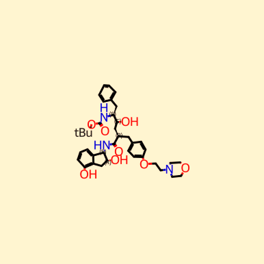 CC(C)(C)OC(=O)N[C@@H](Cc1ccccc1)[C@@H](O)C[C@@H](Cc1ccc(OCCN2CCOCC2)cc1)C(=O)N[C@H]1c2cccc(O)c2C[C@H]1O